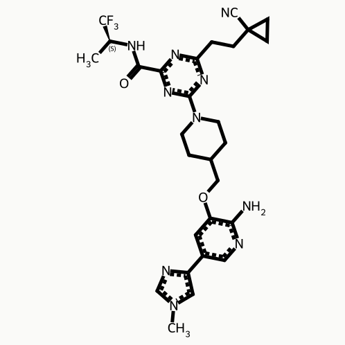 C[C@H](NC(=O)c1nc(CCC2(C#N)CC2)nc(N2CCC(COc3cc(-c4cn(C)cn4)cnc3N)CC2)n1)C(F)(F)F